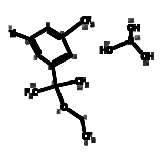 FC(F)(F)COC(c1c[c]([Tl])cc(C(F)(F)F)c1)(C(F)(F)F)C(F)(F)F.OB(O)O